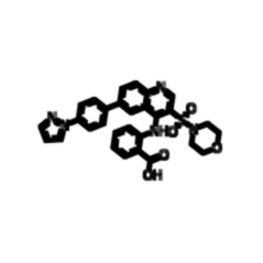 O=C(O)c1ccccc1Nc1c(S(=O)(=O)N2CCOCC2)cnc2ccc(-c3ccc(-n4cccn4)cc3)cc12